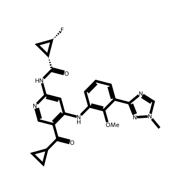 COc1c(Nc2cc(NC(=O)[C@@H]3C[C@@H]3F)ncc2C(=O)C2CC2)cccc1-c1ncn(C)n1